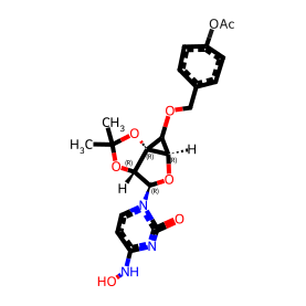 CC(=O)Oc1ccc(COC2[C@H]3O[C@@H](n4ccc(NO)nc4=O)[C@@H]4OC(C)(C)O[C@]234)cc1